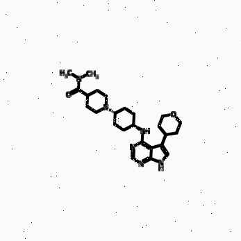 CN(C)C(=O)C1CCN([C@H]2CC[C@H](Nc3ncnc4[nH]cc(C5CCOCC5)c34)CC2)CC1